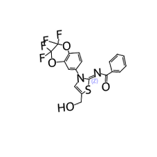 O=C(/N=c1\sc(CO)cn1-c1ccc2c(c1)OC(F)(F)C(F)(F)O2)c1ccccc1